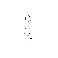 COC(=O)c1ccc2nc(-c3ccccc3)nn2c1